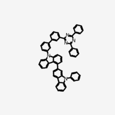 c1ccc(-c2nc(-c3ccccc3)nc(-c3cccc(-c4cccc(-n5c6ccccc6c6c(-c7ccc8c9ccccc9n(-c9ccccc9)c8c7)cccc65)c4)c3)n2)cc1